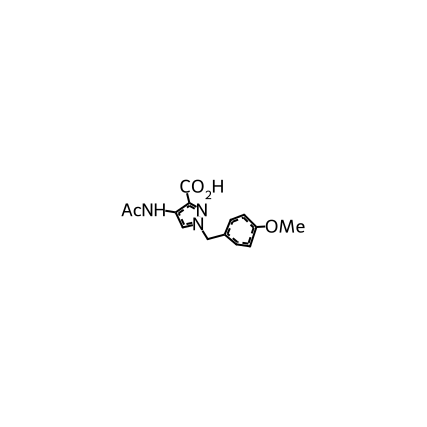 COc1ccc(Cn2cc(NC(C)=O)c(C(=O)O)n2)cc1